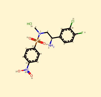 CN(C[C@H](N)c1ccc(F)c(Cl)c1)S(=O)(=O)c1ccc([N+](=O)[O-])cc1.Cl